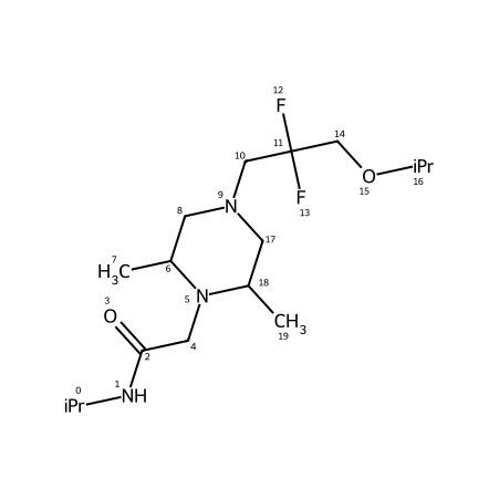 CC(C)NC(=O)CN1C(C)CN(CC(F)(F)COC(C)C)CC1C